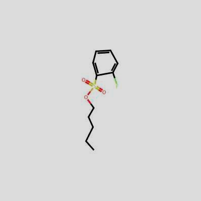 CCCCCOS(=O)(=O)c1ccccc1F